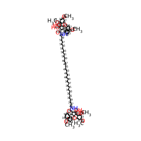 COc1ccc([C@@]23Oc4cc(OC)cc(OC)c4[C@]2(O)[C@H](O)[C@H](C(=O)NCCCCCCCCCCCCCCCCCCCCCCCCCCCCCCCCCCCNC(=O)[C@H]2[C@@H](O)[C@@]4(O)c5c(OC)cc(OC)cc5O[C@@]4(c4ccc(OC)cc4)[C@@H]2c2ccccc2)[C@H]3c2ccccc2)cc1